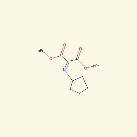 CCCOC(=O)C(=NC1CCCC1)C(=O)OCCC